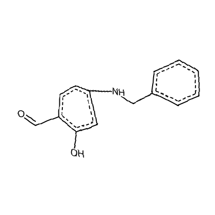 O=Cc1ccc(NCc2ccccc2)cc1O